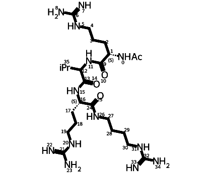 CC(=O)N[C@@H](CCCNC(=N)N)C(=O)NC(C(=O)N[C@@H](CCCNC(=N)N)C(=O)NCCCCNC(=N)N)C(C)C